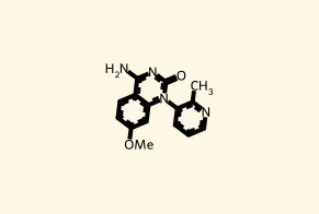 COc1ccc2c(N)nc(=O)n(-c3cccnc3C)c2c1